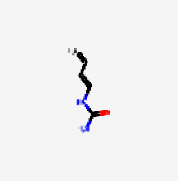 C=CC=CNC(N)=O